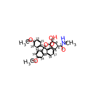 CNC(=O)C1CC2OC1C(O)C2OC(c1ccccc1)(c1ccc(OC)cc1)c1ccc(OC)cc1